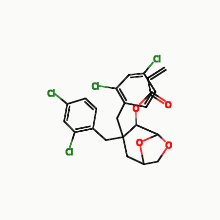 C=CC(=O)OC1C2OCC(CC1(Cc1ccc(Cl)cc1Cl)Cc1ccc(Cl)cc1Cl)O2